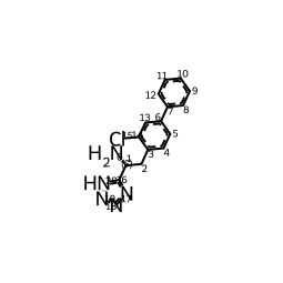 N[C@@H](Cc1ccc(-c2ccccc2)cc1Cl)c1nnn[nH]1